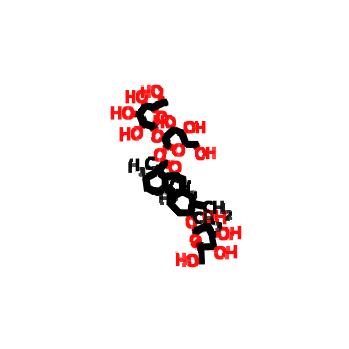 C=C1CC2CCC3[C@](C)(C(=O)OC4OC(CO)C(O)C(O)C4OC4OC(CO)C(O)C(O)C4O)CCC[C@@]3(C)[C@@H]2CCC1(C)OC1OC(CO)C(O)C(O)C1O